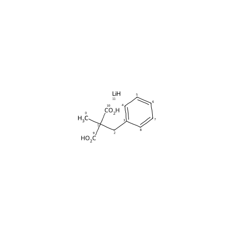 CC(Cc1ccccc1)(C(=O)O)C(=O)O.[LiH]